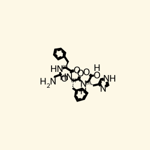 NCC(=O)N[C@@H](Cc1ccccc1)C(=O)N[C@@H](Cc1ccccc1)C(=O)N[C@@H](Cc1c[nH]cn1)C(=O)O